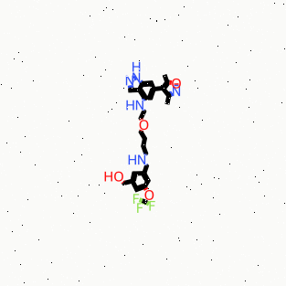 Cc1noc(C)c1-c1cc(NCCOCCCCNCc2cc(CO)cc(OC(F)(F)F)c2)c2cn[nH]c2c1